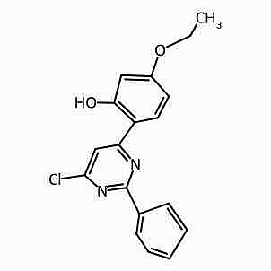 CCOc1ccc(-c2cc(Cl)nc(-c3ccccc3)n2)c(O)c1